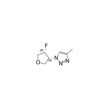 Cc1cn([C@@H]2COC[C@@H]2F)nn1